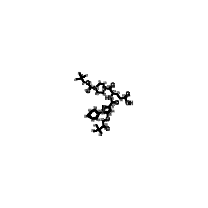 CC(C)(C)COC(=O)N1CCN(C(=O)C(CCC(=O)O)NC(=O)c2cc(OCC(=O)C(C)(C)C)n(-c3ccccc3)n2)CC1